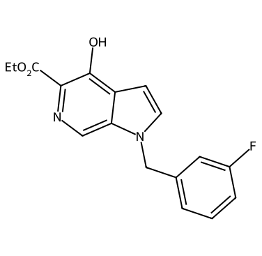 CCOC(=O)c1ncc2c(ccn2Cc2cccc(F)c2)c1O